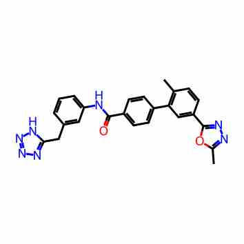 Cc1nnc(-c2ccc(C)c(-c3ccc(C(=O)Nc4cccc(Cc5nnn[nH]5)c4)cc3)c2)o1